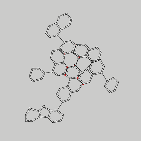 c1ccc(-c2ccc(-c3ccccc3N(c3ccccc3-c3ccccc3N(c3ccc(-c4cccc5ccccc45)cc3)c3ccc4c(ccc5cc(-c6cccc7c6oc6ccccc67)ccc54)c3)c3ccc(-c4ccccc4)c4ccccc34)cc2)cc1